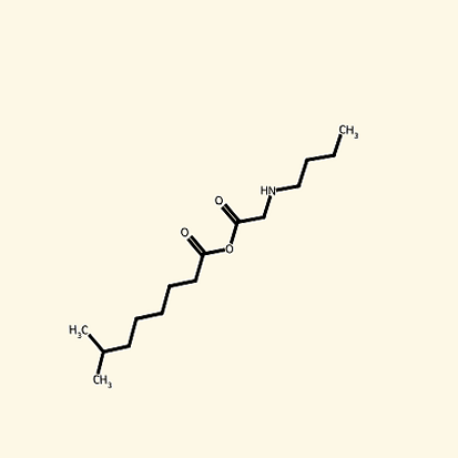 CCCCNCC(=O)OC(=O)CCCCCC(C)C